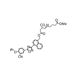 COC(=O)CCCCCC(CC(=O)OCc1ccc(-c2noc(-c3ccc(OC(C)C)c(C#N)c3)n2)c2ccccc12)C(=O)O